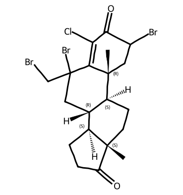 C[C@]12CC(Br)C(=O)C(Cl)=C1C(Br)(CBr)C[C@@H]1[C@@H]2CC[C@]2(C)C(=O)CC[C@@H]12